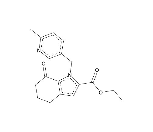 CCOC(=O)c1cc2c(n1Cc1ccc(C)nc1)C(=O)CCC2